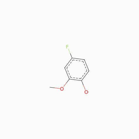 COc1cc(F)ccc1[O]